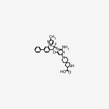 Cc1ccn(-c2cc(-c3ccccc3)ccc2[C@@H](Oc2cc(N3CCC4(CC3)CNC(C(=O)O)C4)nc(N)n2)C(F)(F)F)n1